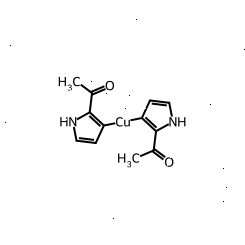 CC(=O)c1[nH]cc[c]1[Cu][c]1cc[nH]c1C(C)=O